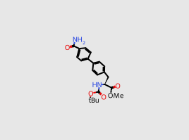 COC(=O)[C@H](Cc1ccc(-c2ccc(C(N)=O)cc2)cc1)NC(=O)OC(C)(C)C